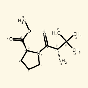 COC(=O)[C@@H]1CCCN1C(=O)[C@@H](N)C(C)(C)C